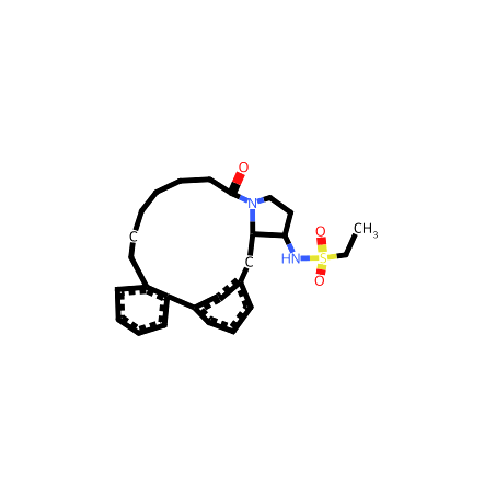 CCS(=O)(=O)NC1CCN2C(=O)CCCCCCc3ccccc3-c3cccc(c3)CC12